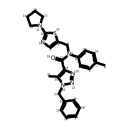 Cc1ccc(N(Cc2cnc(N3CCCC3)s2)C(=O)c2nnn(Cc3ccccc3)c2C)cc1